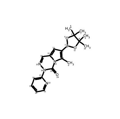 Cc1c(B2OC(C)(C)C(C)(C)O2)cc2cnn(-c3ccccn3)c(=O)n12